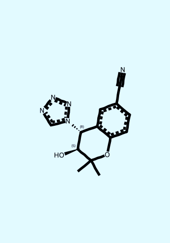 CC1(C)Oc2ccc(C#N)cc2[C@@H](n2cnnn2)[C@@H]1O